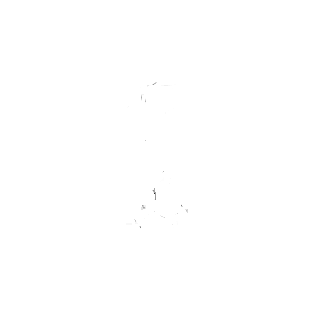 Cc1ccccc1[C@H]1CC[C@@H](OC[C@@H]2NCCC[C@@H]2N)CC1